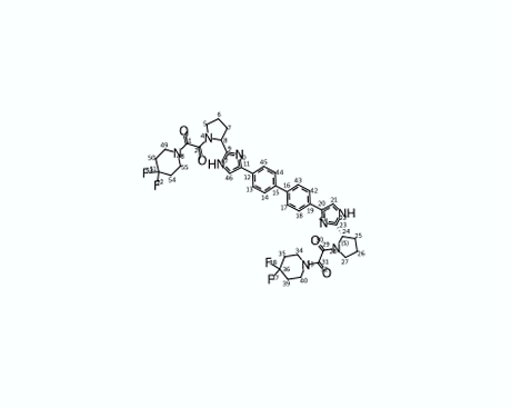 O=C(C(=O)N1CCCC1c1nc(-c2ccc(-c3ccc(-c4c[nH]c([C@@H]5CCCN5C(=O)C(=O)N5CCC(F)(F)CC5)n4)cc3)cc2)c[nH]1)N1CCC(F)(F)CC1